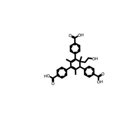 CC1=C(c2ccc(C(=O)O)cc2)C(C)(CCO)C(c2ccc(C(=O)O)cc2)C(C)=C1c1ccc(C(=O)O)cc1